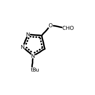 CC(C)(C)n1cc(OC=O)nn1